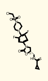 O=C1O[C@@H](CNC(=S)C2CC2)CN1c1cc(F)c(N2CCN(S(=O)(=O)CCl)CC2)c(F)c1